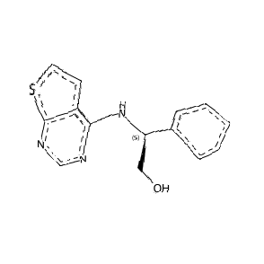 OC[C@@H](Nc1ncnc2sccc12)c1ccccc1